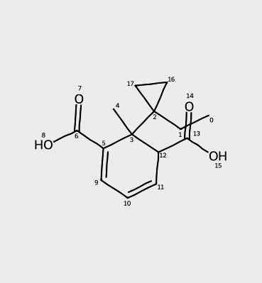 CCC1(C2(C)C(C(=O)O)=CC=CC2C(=O)O)CC1